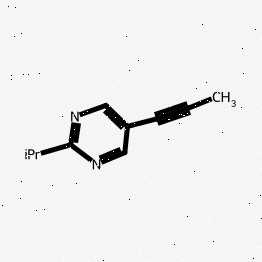 CC#Cc1cnc(C(C)C)nc1